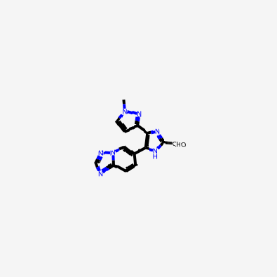 Cn1ccc(-c2nc(C=O)[nH]c2-c2ccc3ncnn3c2)n1